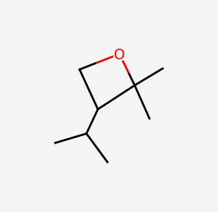 CC(C)C1COC1(C)C